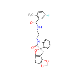 O=C(NCCCN1C(=O)C2(Cc3c(ccc4c3OCO4)O2)c2ccccc21)c1cc(F)ccc1C(F)(F)F